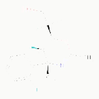 CC1=N[C@](C)(c2ccccc2F)[C@@H](F)[C@@H](C(F)(F)CO)O1